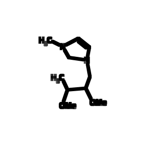 COC(C)C(CN1C=CN(C)C1)OC